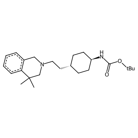 CC(C)(C)OC(=O)N[C@H]1CC[C@H](CCN2Cc3ccccc3C(C)(C)C2)CC1